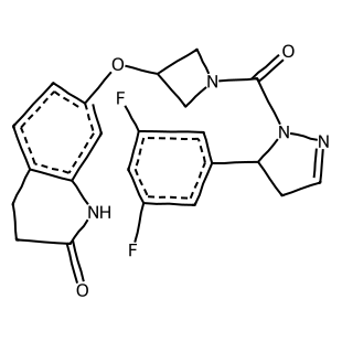 O=C1CCc2ccc(OC3CN(C(=O)N4N=CCC4c4cc(F)cc(F)c4)C3)cc2N1